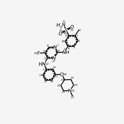 Cc1ccc(Nc2ncc(F)c(Nc3cccc(OC4CCN(C)CC4)c3)n2)cc1S(N)(=O)=O